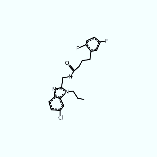 CCCn1c(C[N]C(=O)CCCc2cc(F)ccc2F)nc2ccc(Cl)cc21